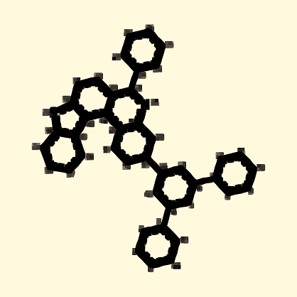 c1ccc(-c2cc(-c3ccccc3)cc(-c3ccc4c(c3)nc(-c3ccccc3)c3ccc5sc6ccccc6c5c34)c2)cc1